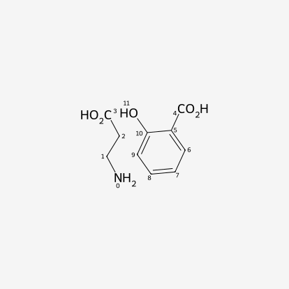 NCCC(=O)O.O=C(O)c1ccccc1O